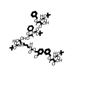 CC(C)(C)OC(=O)N[C@@H](CCCCNC(=O)OCc1ccccc1Cl)C(=O)O.C[C@@H](C(=O)O)N(C(=O)OC(C)(C)C)C1CCCCC1.C[C@@H](OCc1ccccc1)[C@H](NC(=O)OC(C)(C)C)C(=O)O.C[C@@H](OCc1ccccc1)[C@H](NC(=O)OC(C)(C)C)C(=O)O